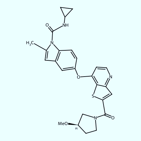 CO[C@@H]1CCN(C(=O)c2cc3nccc(Oc4ccc5c(c4)cc(C)n5C(=O)NC4CC4)c3s2)C1